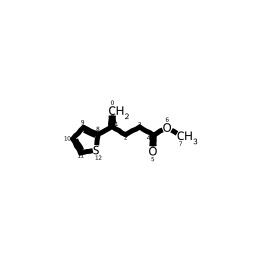 C=C(CCC(=O)OC)c1cccs1